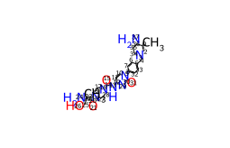 CC1CN(Cc2ccc(-n3ccc(NC(=O)N4CCN(C(=O)[C@@](C)(N)CO)CC4)nc3=O)cc2)CCC1N